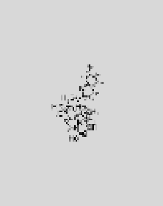 CN(NC(=O)[C@@]1(C(C)(C)C)C(C(C)(C)C)CCN(C(=O)O)N1C(=O)O)c1ccc2ccc(Br)cc2n1